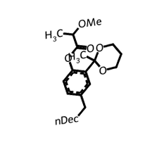 CCCCCCCCCCCc1ccc(OC(=O)C(C)OC)c(C2(C)OCCCO2)c1